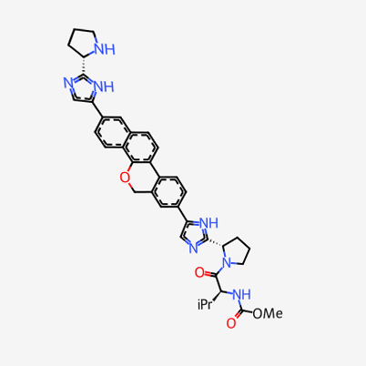 COC(=O)N[C@H](C(=O)N1CCC[C@H]1c1ncc(-c2ccc3c(c2)COc2c-3ccc3cc(-c4cnc([C@@H]5CCCN5)[nH]4)ccc23)[nH]1)C(C)C